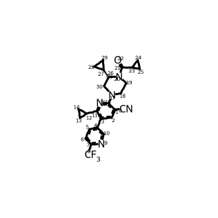 N#Cc1cc(-c2ccc(C(F)(F)F)nc2)c(C2CC2)nc1N1CCN(C(=O)C2CC2)[C@H](C2CC2)C1